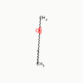 CCCCCCCCC=CCCCCCCCCCCCCOC(=O)OCCCCCCCC